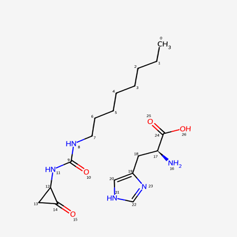 CCCCCCCCNC(=O)NC1CC1=O.N[C@@H](Cc1c[nH]cn1)C(=O)O